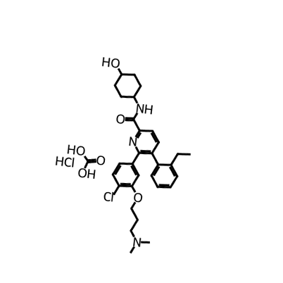 CCc1ccccc1-c1ccc(C(=O)NC2CCC(O)CC2)nc1-c1ccc(Cl)c(OCCCN(C)C)c1.Cl.O=C(O)O